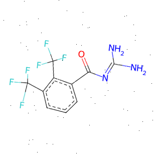 NC(N)=NC(=O)c1cccc(C(F)(F)F)c1C(F)(F)F